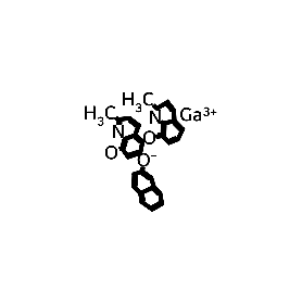 Cc1ccc2cccc([O-])c2n1.Cc1ccc2cccc([O-])c2n1.[Ga+3].[O-]c1ccc2ccccc2c1